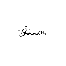 CCCCCCC(C)(CO)CO